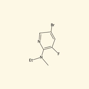 CCN(C)c1ncc(Br)cc1F